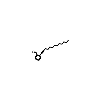 CCCCCCCCCCCC#Cc1ccccc1C=O